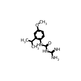 COc1ccc(NC(=O)NC(=N)N)c(C(C)C)c1